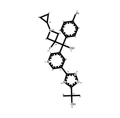 CC(C)c1ccc(C(O)(c2cncc(-c3noc(C(C)(C)O)n3)c2)C2(F)CN(C3CC3)C2)cc1